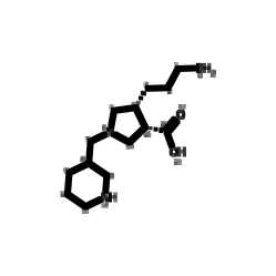 BCCC[C@H]1CN(CC2CCCNC2)C[C@H]1C(=O)O